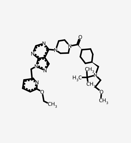 CCOc1cccc(Cn2ncc3c(N4CCN(C(=O)[C@H]5CC[C@H](CN(CCOC)C(C)(C)C)CC5)CC4)ncnc32)n1